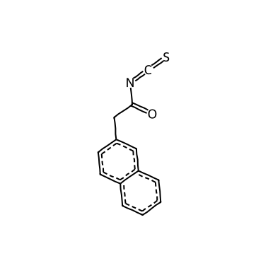 O=C(Cc1ccc2ccccc2c1)N=C=S